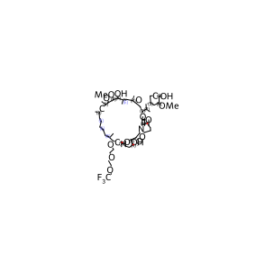 CO[C@@H]1C[C@H](C[C@@H](C)[C@@H]2CC(=O)[C@H](C)/C=C(\C)[C@@H](O)[C@@H](OC)C(=O)[C@H](C)C[C@H](C)/C=C/C=C/C=C(\C)C(OCCOCCOCC(F)(F)F)C[C@@H]3CC[C@@H](C)[C@@](O)(O3)C(=O)C(=O)N3CCCC[C@H]3C(=O)O2)CC[C@H]1O